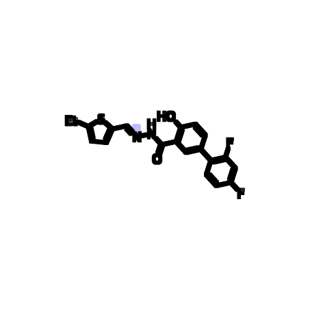 CCc1ccc(/C=N/NC(=O)c2cc(-c3ccc(F)cc3F)ccc2O)s1